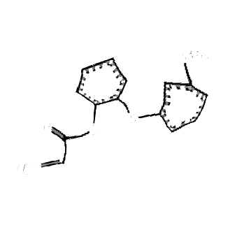 C=CC(=O)Sc1ccccc1Sc1cccc(SC)c1